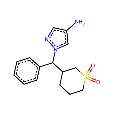 Nc1cnn(C(c2ccccc2)C2CCCS(=O)(=O)C2)c1